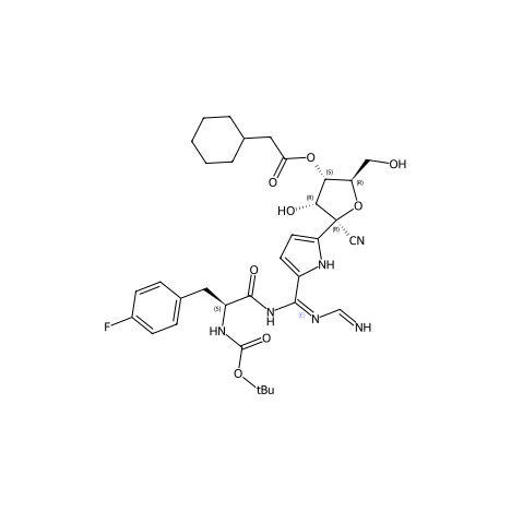 CC(C)(C)OC(=O)N[C@@H](Cc1ccc(F)cc1)C(=O)N/C(=N/C=N)c1ccc([C@]2(C#N)O[C@H](CO)[C@@H](OC(=O)CC3CCCCC3)[C@H]2O)[nH]1